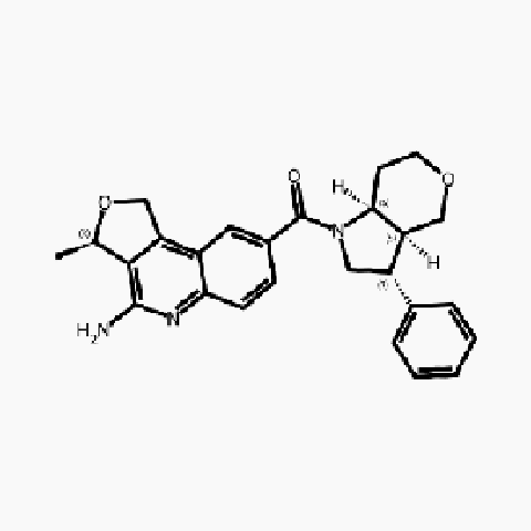 C[C@H]1OCc2c1c(N)nc1ccc(C(=O)N3C[C@@H](c4ccccc4)[C@@H]4COCC[C@@H]43)cc21